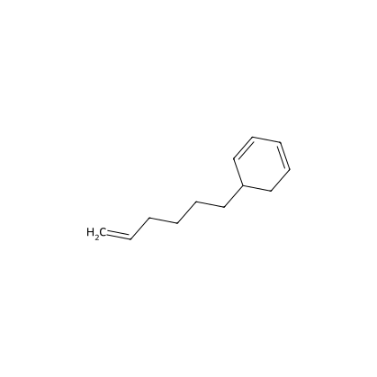 C=CCCCCC1C=CC=CC1